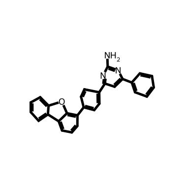 Nc1nc(-c2ccccc2)cc(-c2ccc(-c3cccc4c3oc3ccccc34)cc2)n1